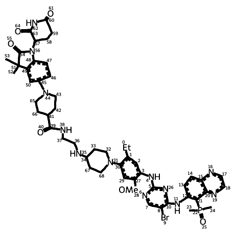 CCc1cc(Nc2ncc(Br)c(Nc3ccc4nccnc4c3P(C)(C)=O)n2)c(OC)cc1N1CCC(NCCNC(=O)C2CCN(c3ccc4c(c3)C(C)(C)C(=O)N4C3CCC(=O)NC3=O)CC2)CC1